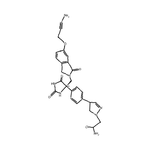 NC#CCOc1ccc2c(c1)C(=O)N(C[C@@]1(c3ccc(C4C=NN(CC(N)Cl)C4)cc3)NC(=O)NC1=O)C2